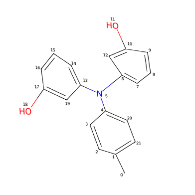 Cc1ccc(N(c2cccc(O)c2)c2cccc(O)c2)cc1